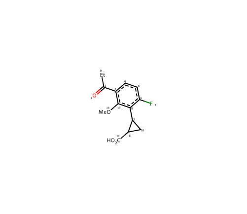 CCC(=O)c1ccc(F)c(C2CC2C(=O)O)c1OC